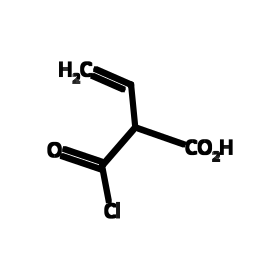 C=CC(C(=O)O)C(=O)Cl